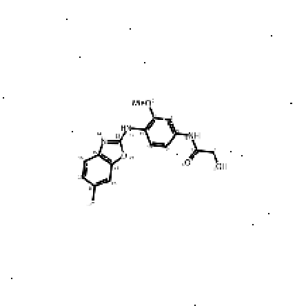 COc1cc(NC(=O)CO)ccc1Nc1nc2ccc(F)cc2o1